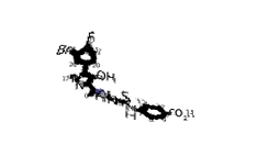 C/C(=N\NC(=S)Nc1ccc(C(=O)O)cc1)c1nn(C)c(-c2ccc(F)c(Br)c2)c1O